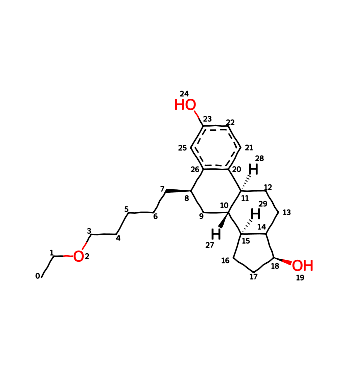 CCOCCCCC[C@@H]1C[C@@H]2[C@H](CCC3[C@H]2CC[C@@H]3O)c2ccc(O)cc21